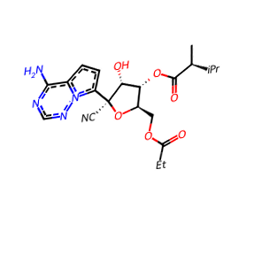 CCC(=O)OC[C@H]1O[C@@](C#N)(c2ccc3c(N)ncnn23)[C@H](O)[C@@H]1OC(=O)[C@@H](C)C(C)C